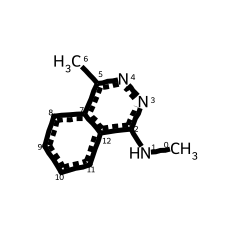 CNc1nnc(C)c2ccccc12